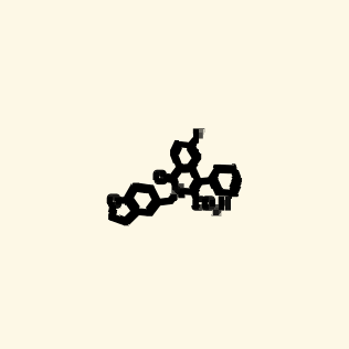 O=C(O)c1c(-c2ccccc2)c2cc(F)ccc2c(=O)n1Cc1ccc2c(c1)CCO2